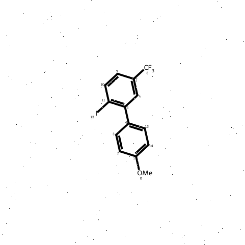 COc1ccc(-c2cc(C(F)(F)F)ccc2I)cc1